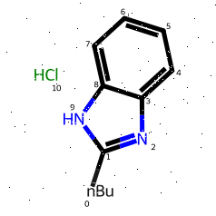 CCCCc1nc2ccccc2[nH]1.Cl